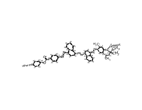 CCCCCCCN1c2cc(C)c(N=Nc3ccc(N=Nc4ccc(N=Nc5ccc(C(=O)Oc6ccc(CCCCC)cc6)cc5)c5ccccc45)c4ccccc34)cc2C(C)CC1(C)C